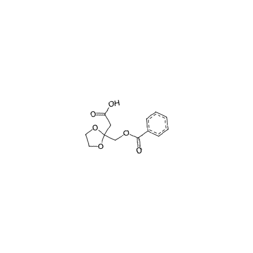 O=C(O)CC1(COC(=O)c2ccccc2)OCCO1